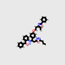 CCCc1nnc(CC(Nc2ccccc2C(=O)c2ccccc2)c2ccc(OCCc3nc(-c4ccccc4)oc3C)cc2)o1